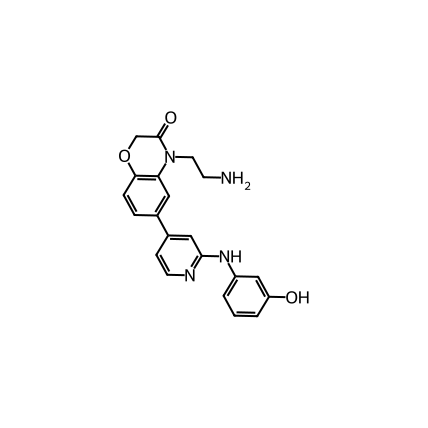 NCCN1C(=O)COc2ccc(-c3ccnc(Nc4cccc(O)c4)c3)cc21